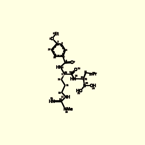 CCOc1ccc(C(=O)N[C@@H](CCCNC(=N)NC)C(=O)N[C@@H](CC(C)C)B(O)O)cc1